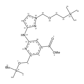 COC(=O)c1cc(CO[Si](C)(C)C(C)(C)C)nc(Nc2ccn(COCC[Si](C)(C)C)n2)c1